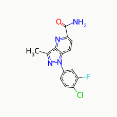 Cc1nn(-c2ccc(Cl)c(F)c2)c2ccc(C(N)=O)nc12